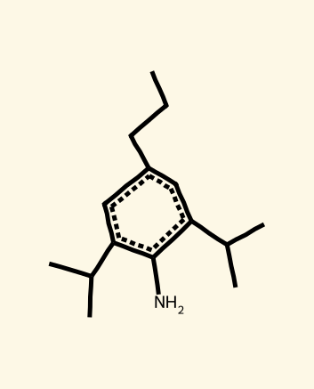 CCCc1cc(C(C)C)c(N)c(C(C)C)c1